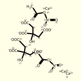 CC(=O)O[N+](=O)[O-].CC(=O)O[N+](=O)[O-].O=C([O-])CC(O)(CC(=O)[O-])C(=O)[O-].O=C([O-])CC(O)(CC(=O)[O-])C(=O)[O-].[Ca+2].[Ca+2].[Ca+2]